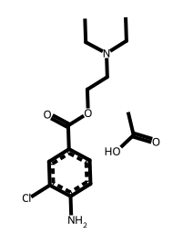 CC(=O)O.CCN(CC)CCOC(=O)c1ccc(N)c(Cl)c1